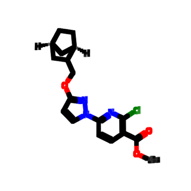 CC(C)(C)OC(=O)c1ccc(-n2ccc(OCC3C[C@H]4CC[C@@H]3C4)n2)nc1Cl